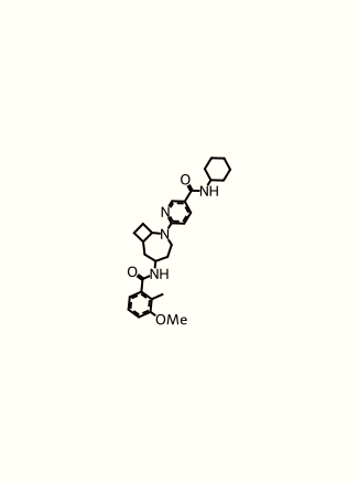 COc1cccc(C(=O)NC2CCN(c3ccc(C(=O)NC4CCCCC4)cn3)C3CCC3C2)c1C